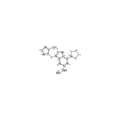 Cc1nonc1Cn1cnc2c(N3CCCC3)nc(NC(C)(C)C)nc21